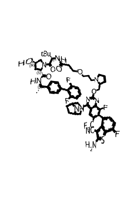 C[C@H](NC(=O)[C@@H]1C[C@@H](O)CN1C(=O)[C@@H](NC(=O)CCOCCCN1CCCC1COc1nc(N2CC3CCC(C2)N3)c2cc(C(F)(F)F)c(-c3ccc(F)c4sc(N)c(C#N)c34)c(F)c2n1)C(C)(C)C)c1ccc(-c2c(F)cccc2F)cc1